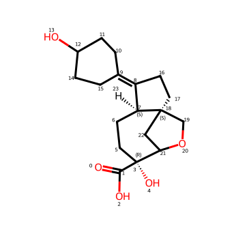 O=C(O)[C@@]1(O)CC[C@H]2C(=C3CCC(O)CC3)CC[C@@]23COC1C3